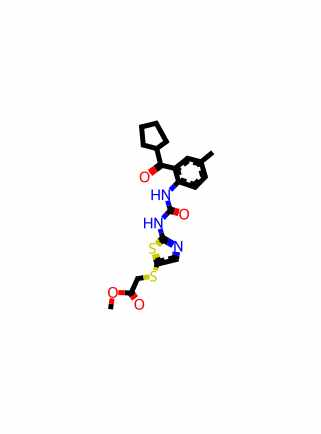 COC(=O)CSc1cnc(NC(=O)Nc2ccc(C)cc2C(=O)C2CCCC2)s1